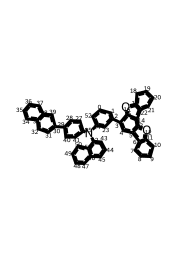 c1cc(-c2cc3c4ccccc4oc3c3c2oc2ccccc23)cc(N(c2ccc(-c3ccc4ccccc4c3)cc2)c2cccc3ccccc23)c1